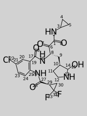 O=C(NC1CC1)C(=O)[C@H](C[C@@H]1CCNC1O)NC(=O)c1cc(Cl)ccc1NC(=O)[C@H]1CC1(F)F